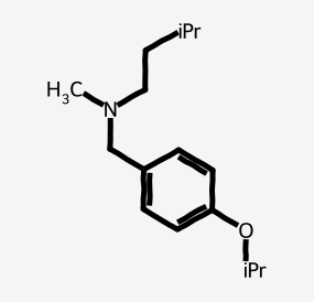 CC(C)CCN(C)Cc1ccc(OC(C)C)cc1